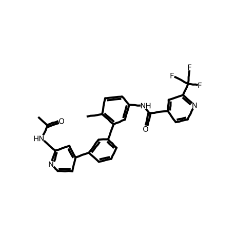 CC(=O)Nc1cc(-c2cccc(-c3cc(NC(=O)c4ccnc(C(F)(F)F)c4)ccc3C)c2)ccn1